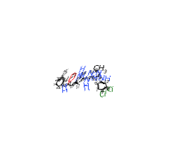 Cc1nc(Nc2ccc(Cl)c(Cl)c2)nc(Nc2cc(CC(=O)Nc3ccccc3)[nH]n2)n1